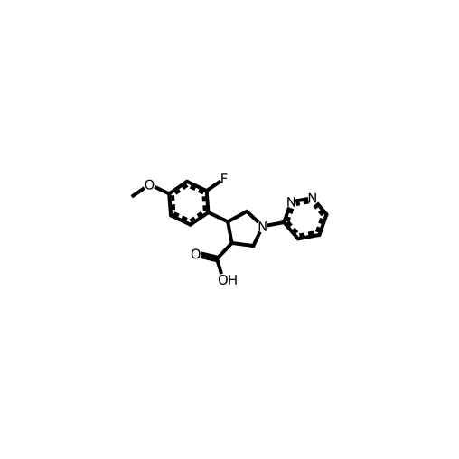 COc1ccc(C2CN(c3cccnn3)CC2C(=O)O)c(F)c1